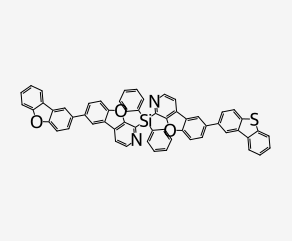 c1ccc([Si](c2ccccc2)(c2nccc3c2oc2ccc(-c4ccc5oc6ccccc6c5c4)cc23)c2nccc3c2oc2ccc(-c4ccc5sc6ccccc6c5c4)cc23)cc1